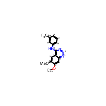 CCOc1cc2nnnc(Nc3cccc(C(F)(F)F)c3)c2cc1OC